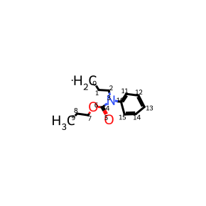 [CH2]CCN(C(=O)OCCC)c1ccccc1